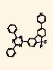 FC1(F)c2ccc(-c3ccncc3)cc2-c2cc(-c3nc(-c4ccccc4)nc(-c4ccccc4)n3)ccc21